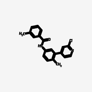 Cc1cccc(C(=O)Nc2ccc(C)c(-c3ccnc(Cl)c3)c2)c1